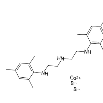 Cc1cc(C)c(NCCNCCNc2c(C)cc(C)cc2C)c(C)c1.[Br-].[Br-].[Co+2]